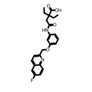 CCC(CC)(CC(=O)Nc1cccc(OCc2ccc3cc(F)ccc3n2)c1)C(=O)O